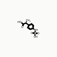 C[C@H](C(=O)O)c1ccc(NS(=O)(=O)O)cc1